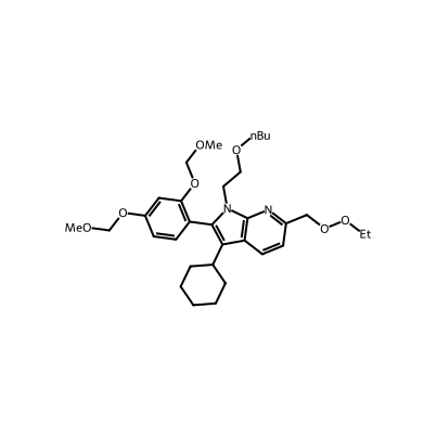 CCCCOCCn1c(-c2ccc(OCOC)cc2OCOC)c(C2CCCCC2)c2ccc(COOCC)nc21